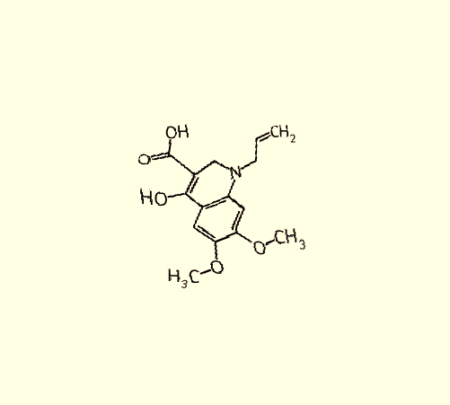 C=CCN1CC(C(=O)O)=C(O)c2cc(OC)c(OC)cc21